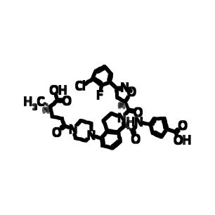 C[C@@H](CCC(=O)N1CCN(c2cccc3c2CCN(C(=O)[C@H]2CC(c4cccc(Cl)c4F)=NO2)[C@@H]3C(=O)Nc2ccc(C(=O)O)cc2)CC1)C(=O)O